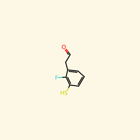 O=CCc1cccc(S)c1F